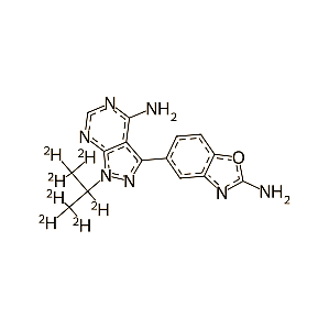 [2H]C([2H])([2H])C([2H])(n1nc(-c2ccc3oc(N)nc3c2)c2c(N)ncnc21)C([2H])([2H])[2H]